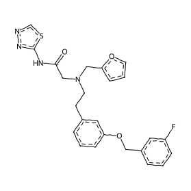 O=C(CN(CCc1cccc(OCc2cccc(F)c2)c1)Cc1ccco1)Nc1nncs1